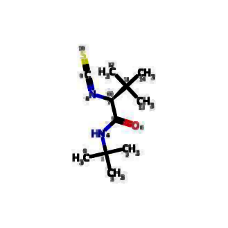 CC(C)(C)NC(=O)[C@@H](N=C=S)C(C)(C)C